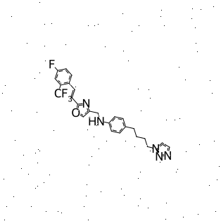 Fc1ccc(C=Cc2nc(CNc3ccc(CCCCn4ccnn4)cc3)co2)c(C(F)(F)F)c1